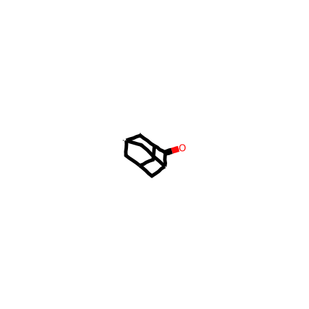 O=C1C2[CH][C]3CC(C2)CC1C3